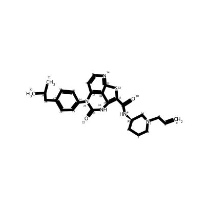 C=CCN1CCC[C@@H](NC(=O)c2sc3nccc4c3c2NC(=O)N4c2ccc(CC(C)C)cc2)C1